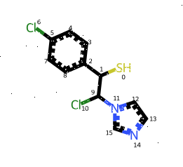 SC(c1ccc(Cl)cc1)C(Cl)n1ccnc1